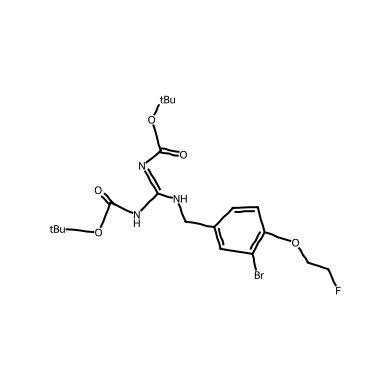 CC(C)(C)OC(=O)/N=C(\NCc1ccc(OCCF)c(Br)c1)NC(=O)OC(C)(C)C